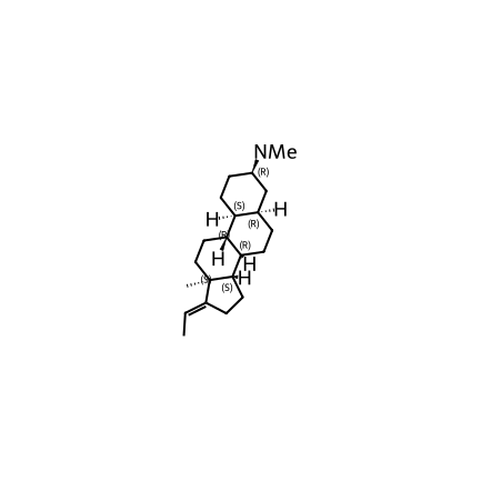 CC=C1CC[C@H]2[C@@H]3CC[C@@H]4C[C@H](NC)CC[C@@H]4[C@H]3CC[C@]12C